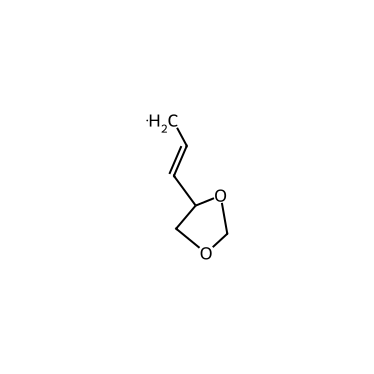 [CH2]C=CC1COCO1